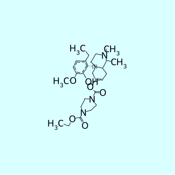 CCOC(=O)N1CCN(C(=O)OC2=CCC3C(C)N(C)CC[C@]3(c3c(CC)ccc(OC)c3O)C2)CC1